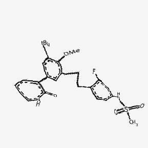 COc1c(CCc2ccc(NS(C)(=O)=O)cc2F)cc(-c2ccc[nH]c2=O)cc1C(C)(C)C